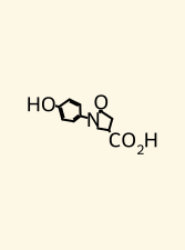 O=C(O)C1CC(=O)N(c2ccc(O)cc2)C1